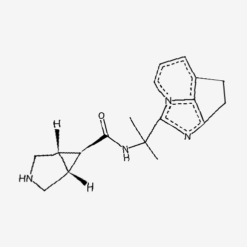 CC(C)(NC(=O)[C@H]1[C@@H]2CNC[C@@H]21)c1nc2c3c(cccn13)CC2